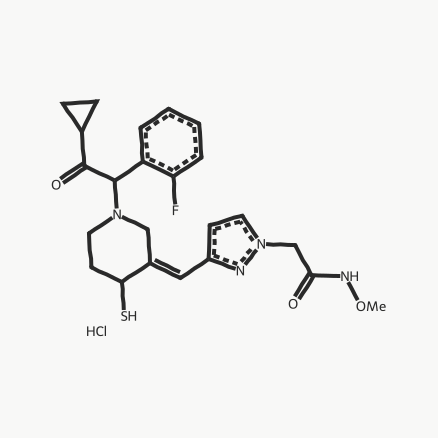 CONC(=O)Cn1ccc(/C=C2\CN(C(C(=O)C3CC3)c3ccccc3F)CCC2S)n1.Cl